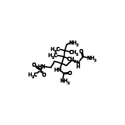 CC(C)(CN)C(C)(C)C(CCNC(N)=O)(CCNS(C)(=O)=O)NC(N)=O